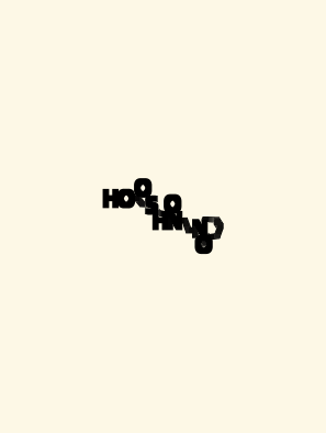 O=C(O)CSCC(=O)NCCN1CC=CCC1=O